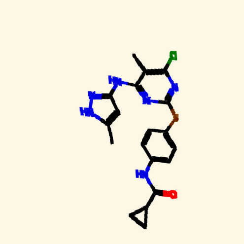 Cc1cc(Nc2nc(Sc3ccc(NC(=O)C4CC4)cc3)nc(Cl)c2C)n[nH]1